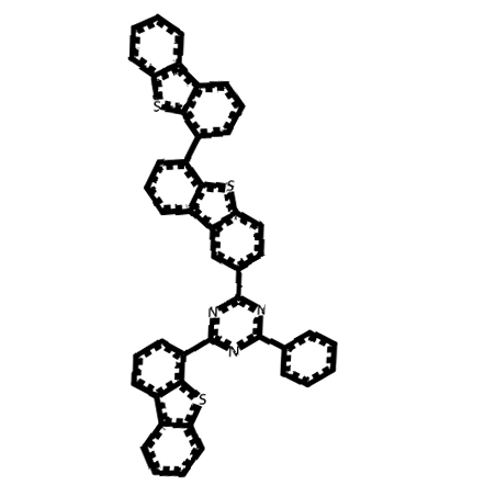 c1ccc(-c2nc(-c3ccc4sc5c(-c6cccc7c6sc6ccccc67)cccc5c4c3)nc(-c3cccc4c3sc3ccccc34)n2)cc1